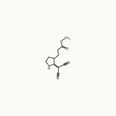 COC(=O)CCN1CCNC1=C(C#N)C#N